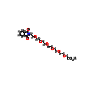 O=C(O)COCCOCCOCCOCCOCCOCCN1C(=O)c2ccccc2C1=O